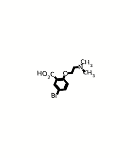 CN(C)CCOc1ccc(Br)cc1C(=O)O